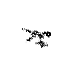 CSCCNc1nc(SCCCF)nc2c1ncn2[C@@H]1O[C@H](COP(=O)(O)OP(=O)(O)O)[C@H]2OC(Cc3ccccc3)O[C@H]21